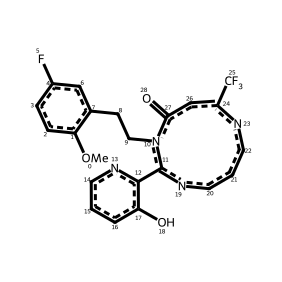 COc1ccc(F)cc1CCn1c(-c2ncccc2O)ncccnc(C(F)(F)F)cc1=O